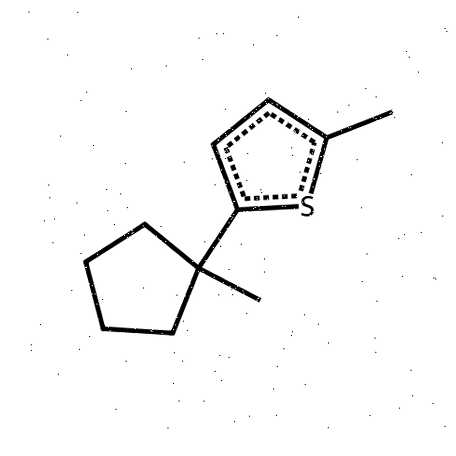 Cc1ccc(C2(C)CCCC2)s1